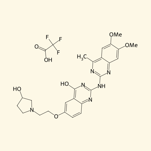 COc1cc2nc(Nc3nc(O)c4cc(OCCN5CCC(O)C5)ccc4n3)nc(C)c2cc1OC.O=C(O)C(F)(F)F